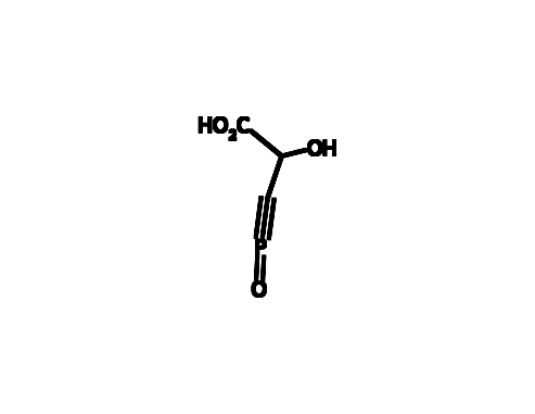 O=P#CC(O)C(=O)O